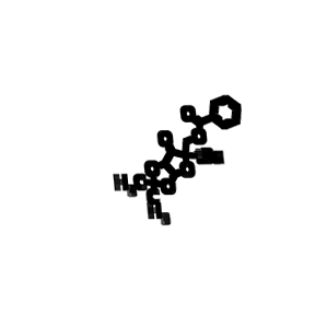 CC1(C)OC2OC(COC(=O)c3ccccc3)(C(C)(C)C)C(=O)C2O1